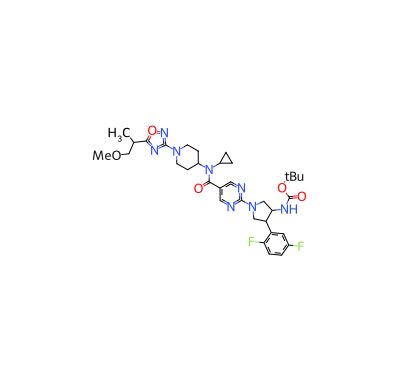 COCC(C)c1nc(N2CCC(N(C(=O)c3cnc(N4CC(NC(=O)OC(C)(C)C)C(c5cc(F)ccc5F)C4)nc3)C3CC3)CC2)no1